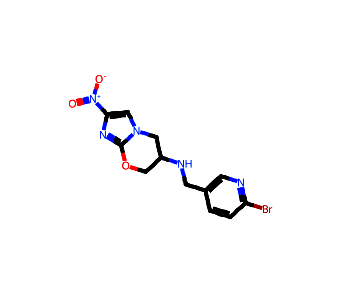 O=[N+]([O-])c1cn2c(n1)OCC(NCc1ccc(Br)nc1)C2